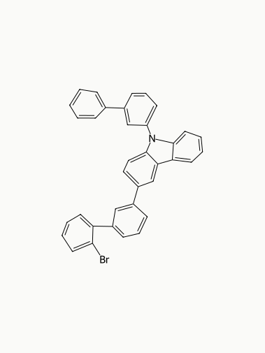 Brc1ccccc1-c1cccc(-c2ccc3c(c2)c2ccccc2n3-c2cccc(-c3ccccc3)c2)c1